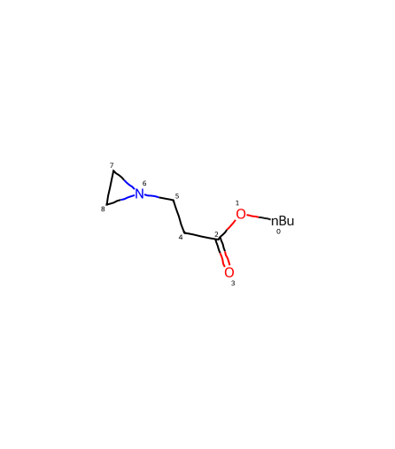 CCCCOC(=O)CCN1CC1